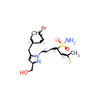 C/C=C(\C=C/CBr)Cc1cc(CO)nn1/C=C/C=C(\C=C(/C)F)S(N)(=O)=O